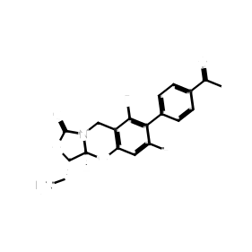 CC(=O)c1ccc(-c2c(F)cc3c(c2F)CN2C(=O)O[C@@H](CN)[C@@H]2O3)cc1